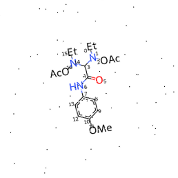 CCN(OC(C)=O)C(C(=O)Nc1ccc(OC)cc1)N(CC)OC(C)=O